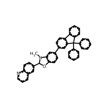 CN1c2cc(-c3ccc4c(c3)C(c3ccccc3)(c3ccccc3)c3ccccc3-4)ccc2OC1c1ccc2ncccc2c1